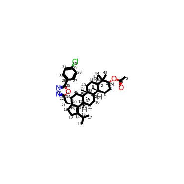 CC(=O)O[C@H]1CC[C@]2(C)[C@H]3CC[C@@H]4C5=C(C(C)C)CC[C@]5(Cc5nnc(-c6ccc(Cl)cc6)o5)CC[C@@]4(C)[C@]3(C)CC[C@H]2C1(C)C